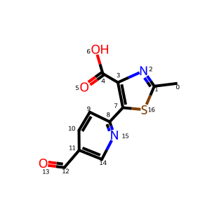 Cc1nc(C(=O)O)c(-c2ccc(C=O)cn2)s1